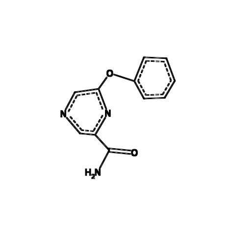 NC(=O)c1cncc(Oc2ccccc2)n1